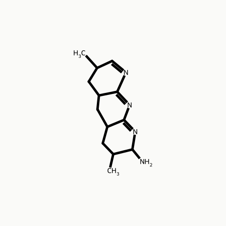 CC1C=NC2=NC3=NC(N)C(C)CC3CC2C1